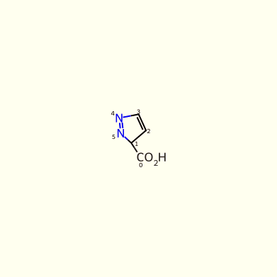 O=C(O)C1C=CN=N1